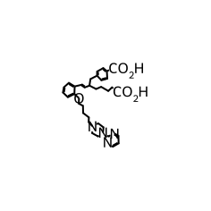 O=C(O)CCCCC(/C=C/c1ccccc1OCCCCCN1CCN(c2ncccn2)CC1)Cc1ccc(C(=O)O)cc1